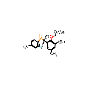 CCC(C)(Pc1ccc(C)cc1F)c1cc(C)cc(C(C)(C)C)c1OCOC